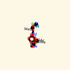 CC[C@H]1OC(=O)[C@H](C)[C@@H](O[C@H]2C[C@@](C)(OC)[C@@H](OC(C)=O)[C@H](C)O2)[C@H](C)[C@@H](O[C@@H]2O[C@H](C)C[C@@H]3NOC(C)(C)O[C@@H]23)[C@](C)(OC)C[C@@H](C)C(=O)[C@H](C)[C@@H](C)[C@]1(C)OC(=O)NCCCOc1cc(C(=O)Nc2c(Cl)cncc2Cl)ccc1OC